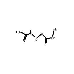 CCCNC(=O)ONNC(N)=O